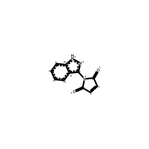 O=C1C=CC(=O)N1c1n[nH]c2ccccc12